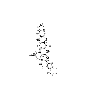 CN1Cc2ccc(Nc3nc(-c4cc(F)cc(N5CCn6c(cc7c6CCCC7)C5=O)c4CO)cn(C)c3=O)cc2C1